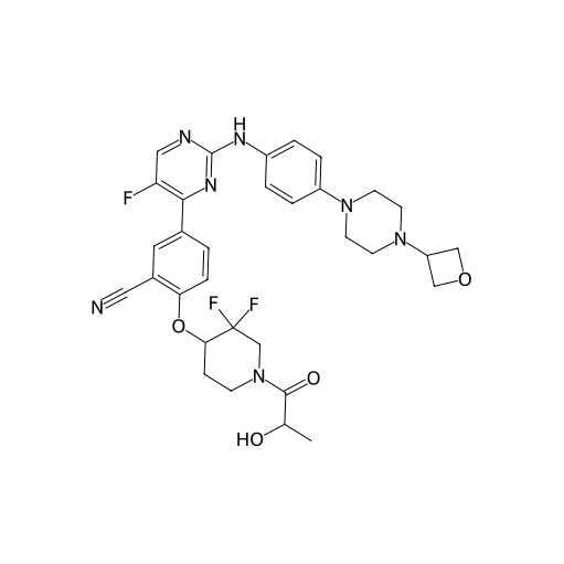 CC(O)C(=O)N1CCC(Oc2ccc(-c3nc(Nc4ccc(N5CCN(C6COC6)CC5)cc4)ncc3F)cc2C#N)C(F)(F)C1